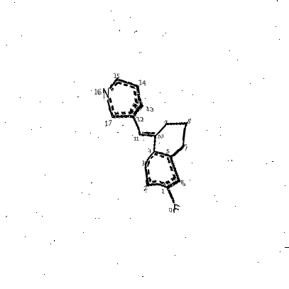 Fc1ccc2c(c1)CCCC2=Cc1cccnc1